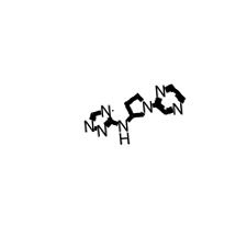 C1=NN=C(NC2CCN(c3cnccn3)C2)[N]1